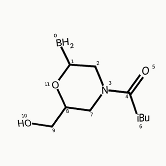 BC1CN(C(=O)C(C)CC)CC(CO)O1